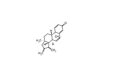 C=C1C[C@@]2(C)CC[C@H]3[C@@H](C=CC4=CC(=O)C=C[C@@]43C)[C@@H]2C1=C